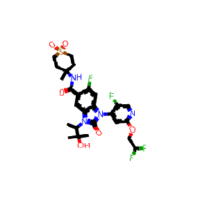 CC(n1c(=O)n(-c2cc(OCC(F)F)ncc2F)c2cc(F)c(C(=O)NC3(C)CCS(=O)(=O)CC3)cc21)C(C)(C)O